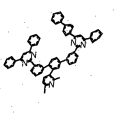 Cc1ccc(-c2cc(-c3cccc(-c4nc(-c5ccccc5)cc(-c5ccc(-c6ccccc6)cc5)n4)c3)ccc2-c2cccc(-c3nc(-c4ccccc4)cc(-c4ccccc4)n3)c2)c(C)n1